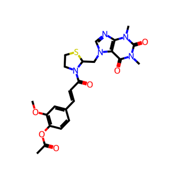 COc1cc(C=CC(=O)N2CCSC2Cn2cnc3c2c(=O)n(C)c(=O)n3C)ccc1OC(C)=O